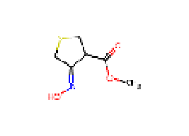 COC(=O)C1CSCC1=NO